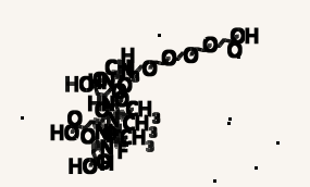 CC(C)[C@H](NC(=O)[C@H](CCC(=O)O)NC(=O)[C@H](CC(=O)O)NC(=O)[C@@H](C)F)C(=O)NC(CC(=O)O)C(=O)N[C@@H](C)C(=O)NCCOCCOCCOCCOCCC(=O)O